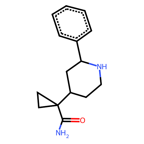 NC(=O)C1(C2CCNC(c3ccccc3)C2)CC1